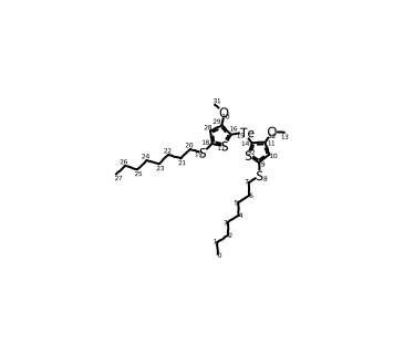 CCCCCCCCSc1cc(OC)c([Te]c2sc(SCCCCCCCC)cc2OC)s1